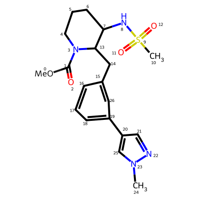 COC(=O)N1CCCC(NS(C)(=O)=O)C1Cc1cccc(-c2cnn(C)c2)c1